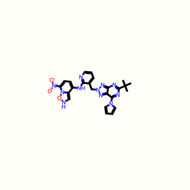 CC(C)(C)c1nc(-n2cccc2)c2nn(Cc3cccnc3NC3=CC=C([N+](=O)[O-])N4ONC=C34)nc2n1